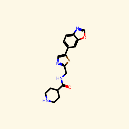 O=C(NCc1ncc(-c2ccc3ncoc3c2)s1)C1CCNCC1